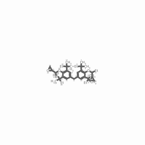 CCC(Oc1c(C(C)(C)CC)cc(Cc2cc(C(C)(C)CC)c(OC(CC)C3CO3)c(C(C)(C)CC)c2)cc1C(C)(C)CC)C1CO1